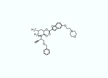 CC(C)CC(OC(=O)c1cc2cc(OCCN3CCOCC3)ccc2o1)C(=O)NC(C#N)COCc1ccccc1